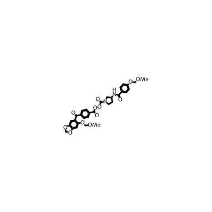 COCOc1ccc(C(=O)NC2CCN(C(=O)OOC(=O)c3ccc(C(=O)c4cc5c(cc4OCOC)OCO5)cc3)C2)cc1